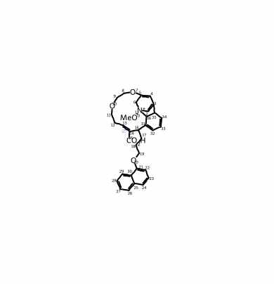 CO[N+]12C=C3C=C(C1)OCCOCC/C=C(\C(=O)O)C(CCCOc1cccc4ccccc14)C1=CC=CC3C12